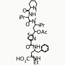 CCN[C@@H](CC(Cc1ccccc1)NC(=O)c1csc(C(CC(C(C)C)N(C)C(=O)C(NC(=O)C2CCCCN2C)C(C)C)OC(C)=O)n1)C(=O)O